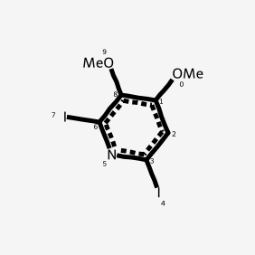 COc1cc(I)nc(I)c1OC